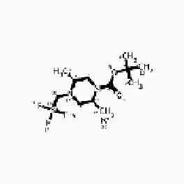 C[C@H]1CN(C(=O)OC(C)(C)C)[C@@H](C)CN1C[B-](F)(F)F.[K+]